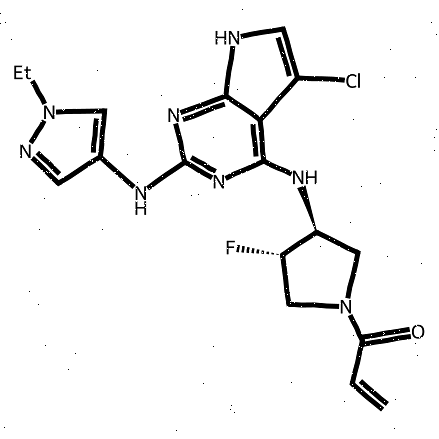 C=CC(=O)N1C[C@H](Nc2nc(Nc3cnn(CC)c3)nc3[nH]cc(Cl)c23)[C@@H](F)C1